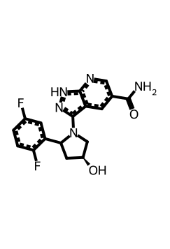 NC(=O)c1cnc2[nH]nc(N3C[C@@H](O)CC3c3cc(F)ccc3F)c2c1